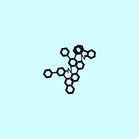 c1ccc(-c2ccc(N(c3ccc(-c4ccccc4)c(-c4ccccc4)c3)c3ccccc3-c3ccc(-n4c5ccccc5c5ccccc54)cc3)c(-c3ccc4ccccc4c3)c2)cc1